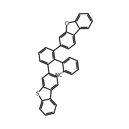 N#Cc1ccccc1-c1c(-c2ccc3c(c2)oc2ccccc23)cccc1-c1ccc2c(c1)sc1ccccc12